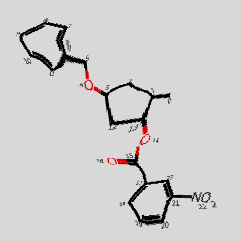 CC1CC(OCc2ccccc2)CC1OC(=O)c1cccc([N+](=O)[O-])c1